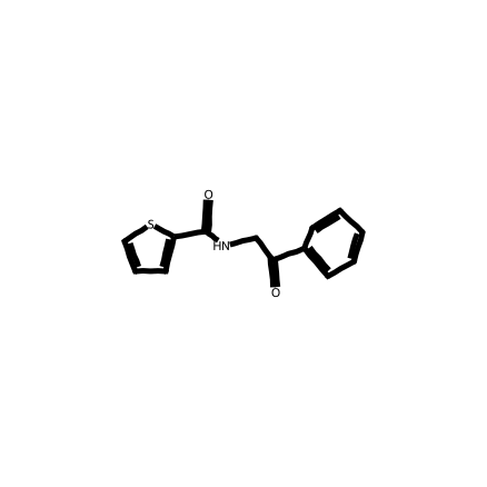 O=C(CNC(=O)c1cccs1)c1ccccc1